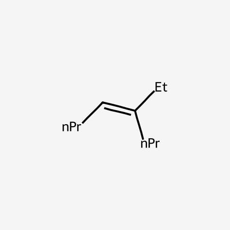 CCCC=C(CC)CCC